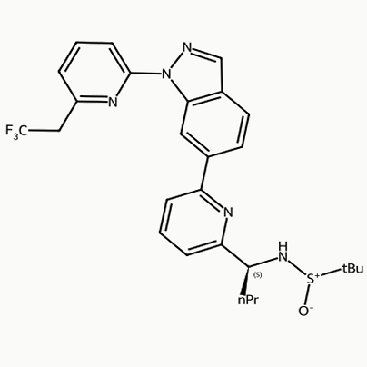 CCC[C@H](N[S+]([O-])C(C)(C)C)c1cccc(-c2ccc3cnn(-c4cccc(CC(F)(F)F)n4)c3c2)n1